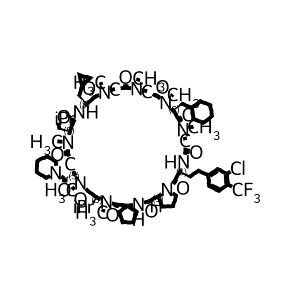 CC(C)C[C@H]1C(=O)N[C@@H](CC2CC2)C(=O)N(C)CC(=O)N(C)CC(=O)N(C)[C@@H](CC2CCCCC2)C(=O)N(C)CC(=O)N[C@@H](CCc2ccc(C(F)(F)F)c(Cl)c2)C(=O)N2CCC[C@H]2C(=O)NC2(CCCC2)C(=O)N(C)[C@@H](C(C)C)C(=O)N(C)[C@H](C(=O)N2CCCCC2)CC(=O)N1C